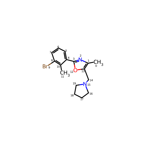 Cc1nc(-c2cccc(Br)c2C)oc1CN1CCCC1